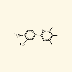 Cc1cc(-c2ccc(N)c(S)c2)nc(C)c1C